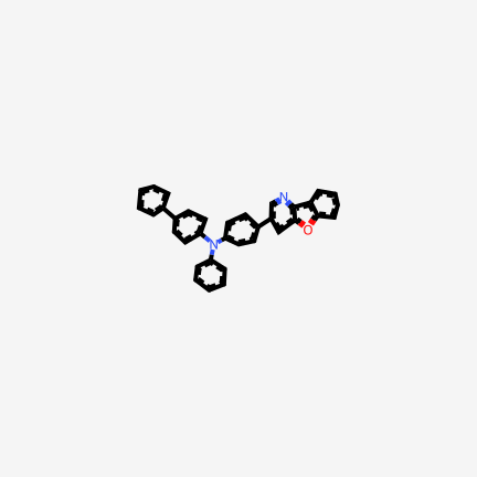 c1ccc(-c2ccc(N(c3ccccc3)c3ccc(-c4cnc5c(c4)oc4ccccc45)cc3)cc2)cc1